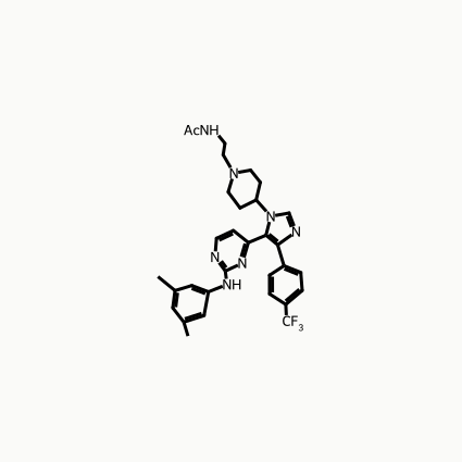 CC(=O)NCCN1CCC(n2cnc(-c3ccc(C(F)(F)F)cc3)c2-c2ccnc(Nc3cc(C)cc(C)c3)n2)CC1